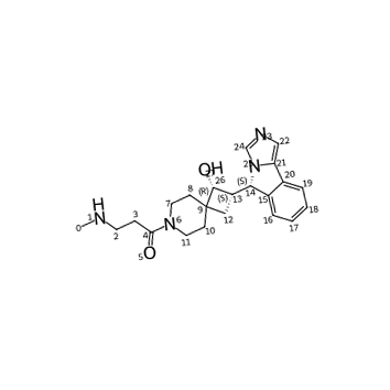 CNCCC(=O)N1CCC2(CC1)C[C@@H]([C@H]1c3ccccc3-c3cncn31)[C@H]2O